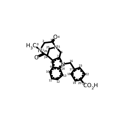 CN1CC(=O)N2Cc3c(c4ccccc4n3Cc3ccc(C(=O)O)cc3)C(C2)C1=O